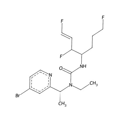 CCN(C(=O)NC(CCCF)C(F)C=CF)[C@H](C)c1cc(Br)ccn1